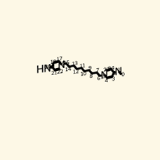 CN=c1ccn(CCCCCCCCCCn2ccc(=N)cc2)cc1